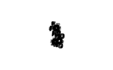 O=C1CC[C@@](F)(C(=O)NCc2ccc(F)c(F)c2F)c2cccnc21